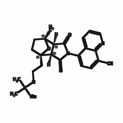 CC(C)(C)[Si](C)(C)OCC[C@@]12CC[C@@](C)(O1)[C@H]1C(=O)N(c3ccc(C#N)c4ncccc34)C(=O)[C@H]12